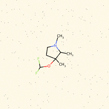 CC1N(C)CCC1(C)OC(F)F